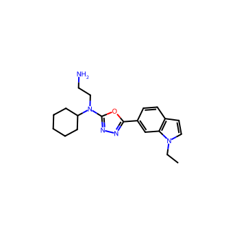 CCn1ccc2ccc(-c3nnc(N(CCN)C4CCCCC4)o3)cc21